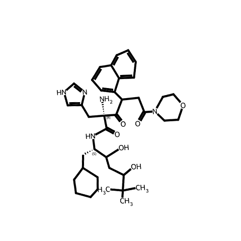 CC(C)(C)C(O)CC(O)[C@H](CC1CCCCC1)NC(=O)[C@@](N)(Cc1c[nH]cn1)C(=O)C(CC(=O)N1CCOCC1)c1cccc2ccccc12